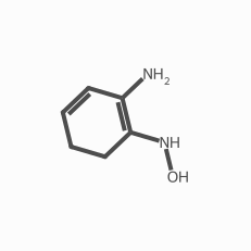 NC1=C(NO)CCC=C1